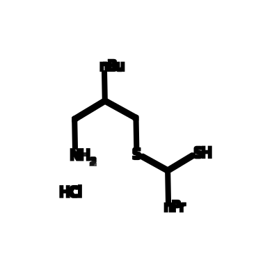 CCCCC(CN)CSC(S)CCC.Cl